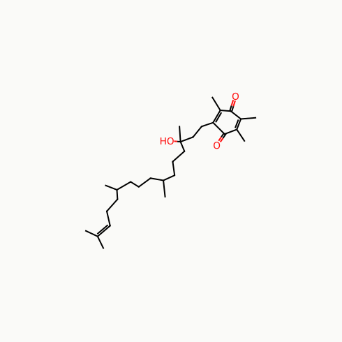 CC(C)=CCCC(C)CCCC(C)CCCC(C)(O)CCC1=C(C)C(=O)C(C)=C(C)C1=O